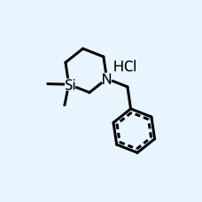 C[Si]1(C)CCCN(Cc2ccccc2)C1.Cl